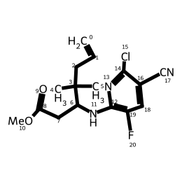 C=CCC(C)(C)C(CC(=O)OC)Nc1nc(Cl)c(C#N)cc1F